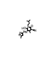 Cc1cc(N=Nc2c(C)c(C#N)c(=O)n(CCC(C)C)c2O)no1